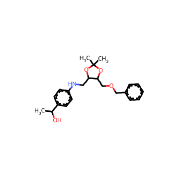 CC(O)c1ccc(NCC2OC(C)(C)OC2COCc2ccccc2)cc1